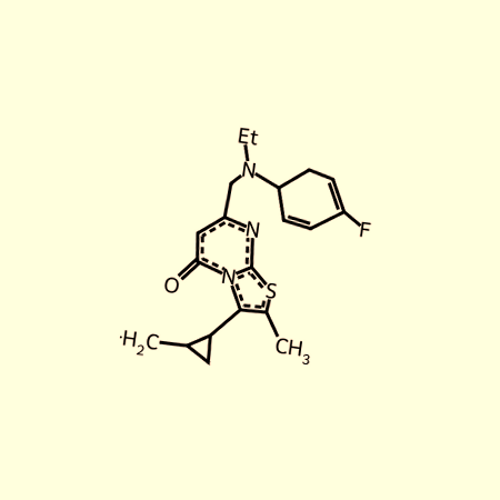 [CH2]C1CC1c1c(C)sc2nc(CN(CC)C3C=CC(F)=CC3)cc(=O)n12